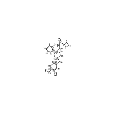 O=C(C1CCC1)N1Cc2ccccc2C2(CCN(Cc3ccc(CI)c(Cl)c3)CC2)C1